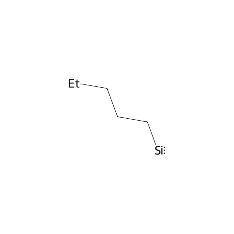 CCCCC[Si]